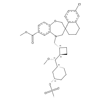 COC(=O)c1ccc2c(c1)N(C[C@@H]1CC[C@H]1[C@@H](OC)[C@@H]1CCC[C@H](OS(C)(=O)=O)C1)CC1(CCCc3cc(Cl)ccc31)CO2